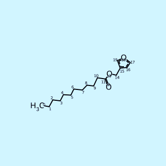 CCCCCCCCCCCC(=O)OCc1ccoc1